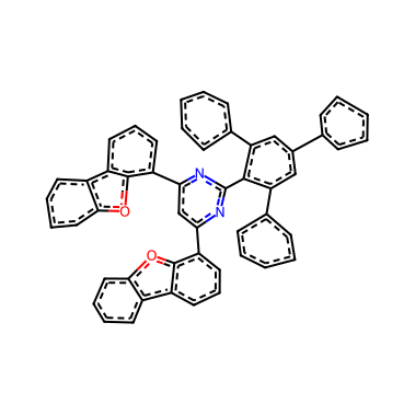 c1ccc(-c2cc(-c3ccccc3)c(-c3nc(-c4cccc5c4oc4ccccc45)cc(-c4cccc5c4oc4ccccc45)n3)c(-c3ccccc3)c2)cc1